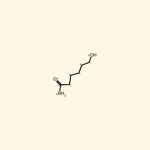 NC(=O)CCCCCO